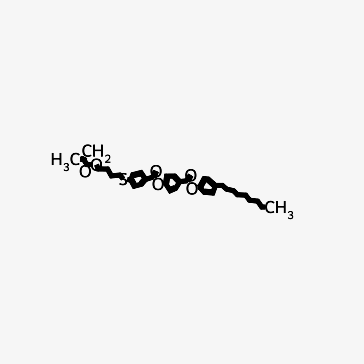 C=C(C)C(=O)OCCCCSc1ccc(C(=O)Oc2ccc(C(=O)Oc3ccc(CCCCCCCCC)cc3)cc2)cc1